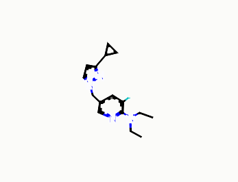 CCN(CC)c1ncc(Cn2ccc(C3CC3)n2)cc1F